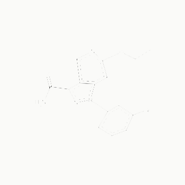 CCOc1cc2c(cn1)c(C(N)=O)nn2-c1cccc(Br)c1